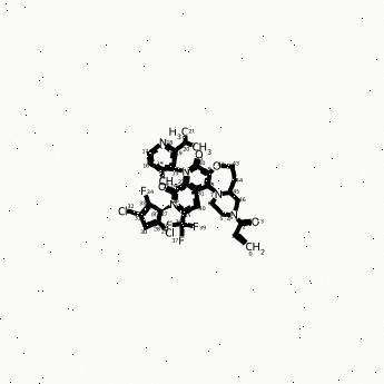 C=CC(=O)N1CCN2c3c(c(=O)n(-c4c(C)ccnc4C(C)C)c4c(=O)n([C@H]5C(Cl)=CC(Cl)=C5F)c(C(F)(F)F)cc34)OCCC2C1